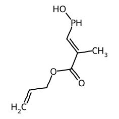 C=CCOC(=O)C(C)=CPO